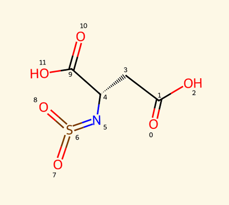 O=C(O)C[C@H](N=S(=O)=O)C(=O)O